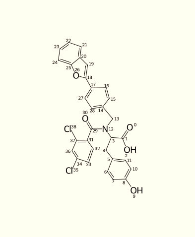 O=C(O)C(Cc1ccc(O)cc1)N(Cc1ccc(-c2cc3ccccc3o2)cc1)C(=O)c1ccc(Cl)cc1Cl